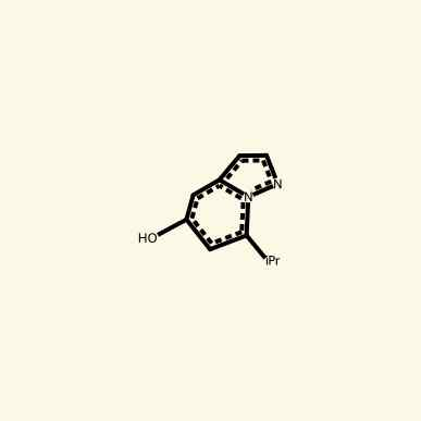 CC(C)c1cc(O)cc2ccnn12